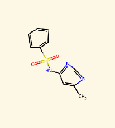 Cc1cc(NS(=O)(=O)c2ccccc2)ncn1